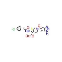 O=C(CCc1ccc(Cl)cc1)Nc1sc2c(c1C(=O)O)CCN(C(=O)c1ccc3[nH]nnc3c1)C2